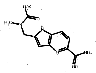 CC(=O)OC(=O)N(C)Cc1cc2nc(C(=N)N)ccc2[nH]1